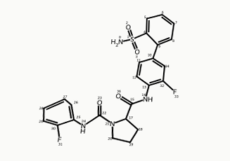 NS(=O)(=O)c1ccccc1-c1ccc(NC(=O)C2CCCN2C(=O)Nc2ccccc2F)c(F)c1